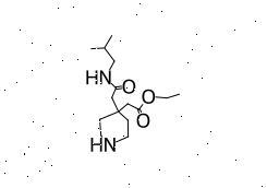 CCOC(=O)CC1(CC(=O)NCC(C)C)CCNCC1